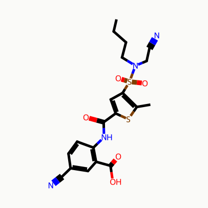 CCCCN(CC#N)S(=O)(=O)c1cc(C(=O)Nc2ccc(C#N)cc2C(=O)O)sc1C